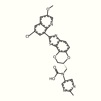 COc1cnc2c(-c3nc4ccc5c(c4s3)OC[C@@H](CN(C(=O)O)c3cnc(C)nc3)O5)cc(Cl)cc2c1